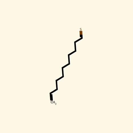 C=CCCCCCCCCC=S